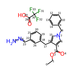 CCOC(=O)c1cn(Cc2ccccc2)cc1Cc1cccc(C=NN)c1.O=C(O)C(F)(F)F